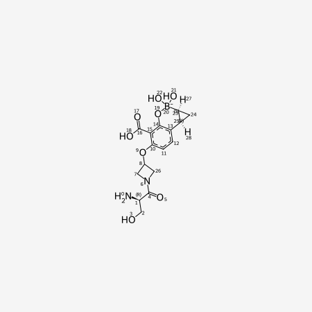 N[C@H](CO)C(=O)N1CC(Oc2ccc3c(c2C(=O)O)O[B-](O)(O)[C@H]2C[C@@H]32)C1